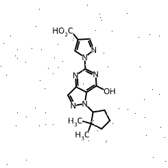 CC1(C)CCCC1n1ncc2nc(-n3cc(C(=O)O)cn3)nc(O)c21